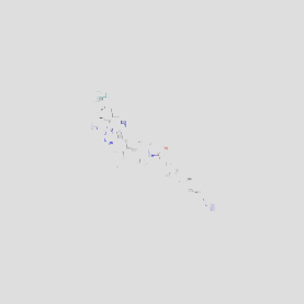 COc1cc2nc(C)nc(NC(C)c3cc(N)cc(C(F)(F)F)c3)c2cc1C1CCN(C(=O)CCCCCCCCCCN)CC1